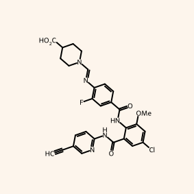 C#Cc1ccc(NC(=O)c2cc(Cl)cc(OC)c2NC(=O)c2ccc(N=CN3CCC(C(=O)O)CC3)c(F)c2)nc1